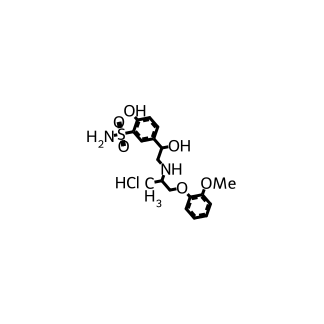 COc1ccccc1OCC(C)NCC(O)c1ccc(O)c(S(N)(=O)=O)c1.Cl